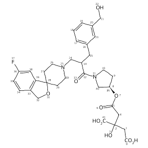 O=C(O)CC(O)(CC(=O)O[C@@H]1CCN(C(=O)C(Cc2cccc(CO)c2)CN2CCC3(CC2)OCc2ccc(F)cc23)C1)C(=O)O